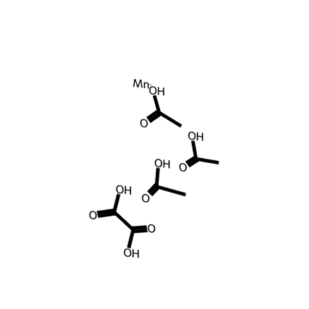 CC(=O)O.CC(=O)O.CC(=O)O.O=C(O)C(=O)O.[Mn]